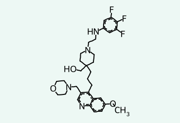 COc1ccc2ncc(CN3CCOCC3)c(CCCC3(CO)CCN(CCNc4cc(F)c(F)c(F)c4)CC3)c2c1